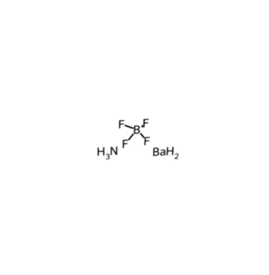 F[B-](F)(F)F.N.[BaH2]